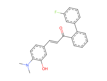 CN(C)c1ccc(C=CC(=O)c2ccccc2-c2cccc(F)c2)cc1O